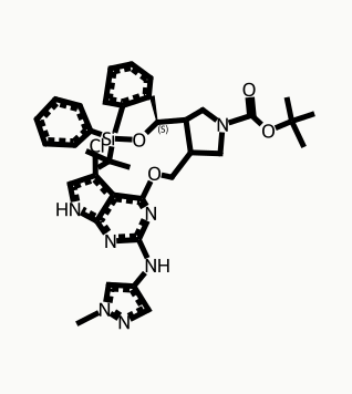 C[C@H](O[Si](c1ccccc1)(c1ccccc1)C(C)(C)C)C1CN(C(=O)OC(C)(C)C)CC1COc1nc(Nc2cnn(C)c2)nc2[nH]cc(Cl)c12